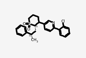 C[C@@H](C[C@H]1C(c2ccc(-c3ccccc3Cl)nc2)[CH]CCS1(=O)=O)c1ccccc1